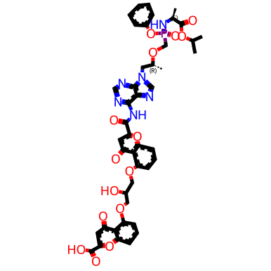 CC(C)OC(=O)[C@H](C)NP(=O)(CO[C@H](C)Cn1cnc2c(NC(=O)c3cc(=O)c4c(OCC(O)COc5cccc6oc(C(=O)O)cc(=O)c56)cccc4o3)ncnc21)Oc1ccccc1